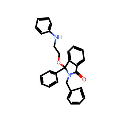 O=C1c2ccccc2C(OCCNc2ccccc2)(c2ccccc2)N1Cc1ccccc1